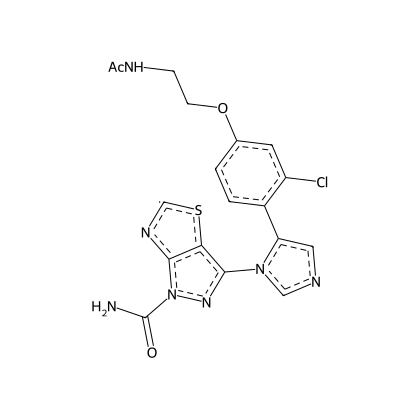 CC(=O)NCCOc1ccc(-c2cncn2-c2nn(C(N)=O)c3n[c]sc23)c(Cl)c1